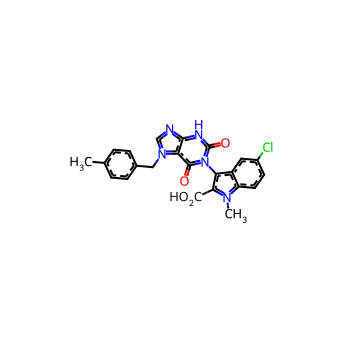 Cc1ccc(Cn2cnc3[nH]c(=O)n(-c4c(C(=O)O)n(C)c5ccc(Cl)cc45)c(=O)c32)cc1